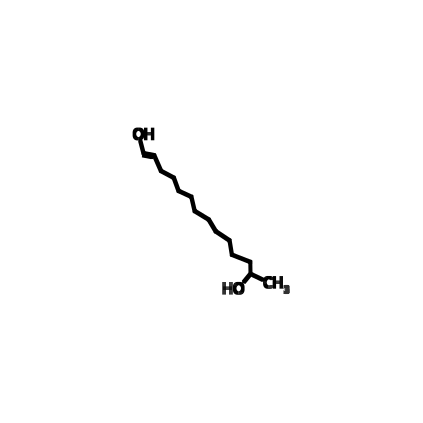 CC(O)CCCCCCCCCCC=CO